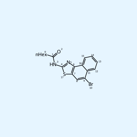 CCCCCCC(=O)Nc1nc2c(cc(Br)c3ccccc32)s1